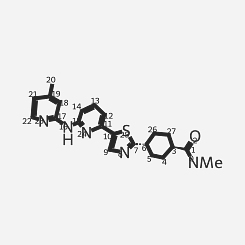 CNC(=O)[C@H]1CC[C@H](c2ncc(-c3cccc(Nc4cc(C)ccn4)n3)s2)CC1